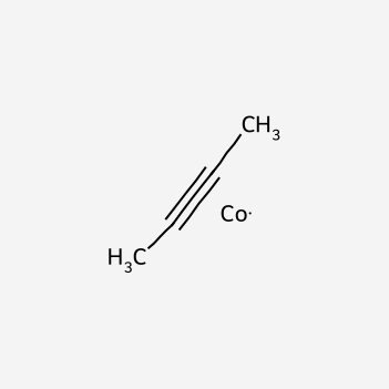 CC#CC.[Co]